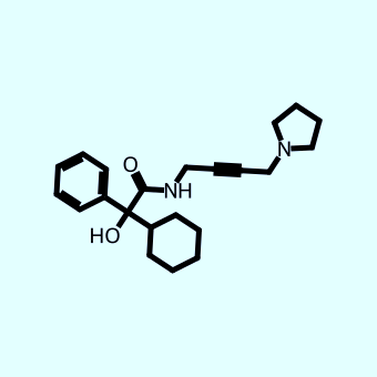 O=C(NCC#CCN1CCCC1)C(O)(c1ccccc1)C1CCCCC1